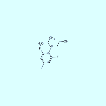 CC(C)[C@H](CCO)c1c(F)cc(F)cc1F